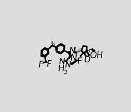 C=C[C@]1(C(=O)O)CC[C@@H](c2nc(-c3ccc([C@H](C)c4cccc(C(F)F)c4)cc3)c3c(N)ncc(F)n23)C1(C)C